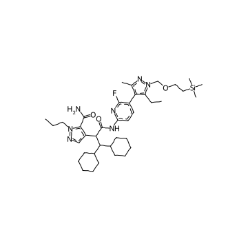 CCCn1ncc(C(C(=O)Nc2ccc(-c3c(C)nn(COCC[Si](C)(C)C)c3CC)c(F)n2)C(C2CCCCC2)C2CCCCC2)c1C(N)=O